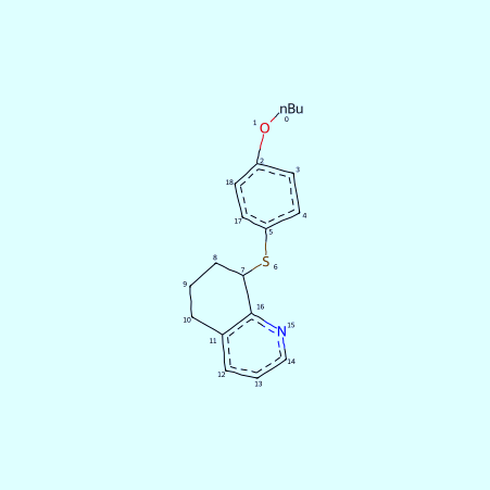 CCCCOc1ccc(SC2CCCc3cccnc32)cc1